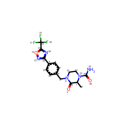 CC1C(=O)N(Cc2ccc(-c3noc(C(F)(F)F)n3)cc2)CCN1C(N)=O